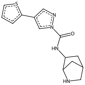 O=C(NC1CC2CNC1C2)n1cc(-c2cccs2)cn1